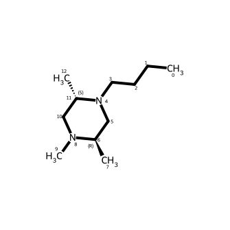 CCCCN1C[C@@H](C)N(C)C[C@@H]1C